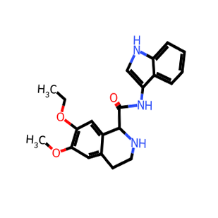 CCOc1cc2c(cc1OC)CCNC2C(=O)Nc1c[nH]c2ccccc12